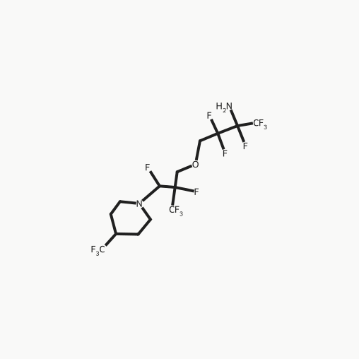 NC(F)(C(F)(F)F)C(F)(F)COCC(F)(C(F)N1CCC(C(F)(F)F)CC1)C(F)(F)F